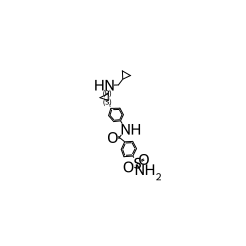 NS(=O)(=O)c1ccc(C(=O)Nc2ccc([C@@H]3C[C@H]3NCC3CC3)cc2)cc1